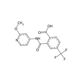 COc1cc(NC(=O)c2cc(C(F)(F)F)ccc2C(=O)O)ccn1